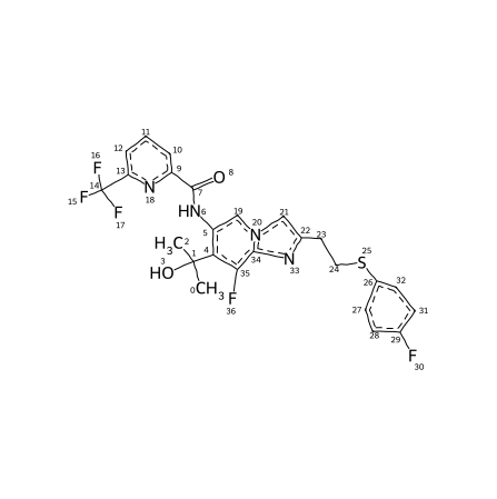 CC(C)(O)c1c(NC(=O)c2cccc(C(F)(F)F)n2)cn2cc(CCSc3ccc(F)cc3)nc2c1F